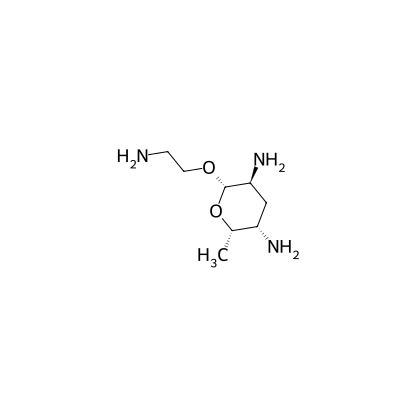 C[C@@H]1O[C@H](OCCN)[C@@H](N)C[C@@H]1N